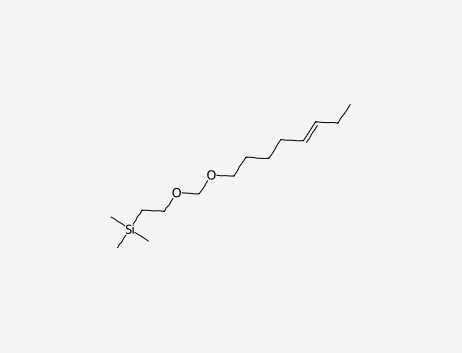 CCC=CCCCCOCOCC[Si](C)(C)C